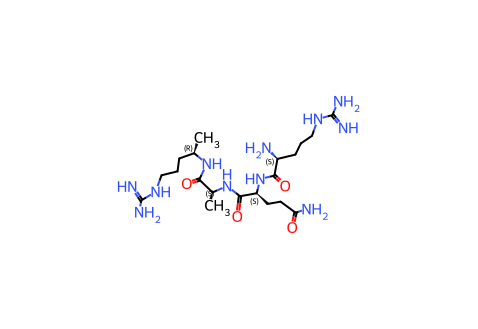 C[C@H](CCCNC(=N)N)NC(=O)[C@H](C)NC(=O)[C@H](CCC(N)=O)NC(=O)[C@@H](N)CCCNC(=N)N